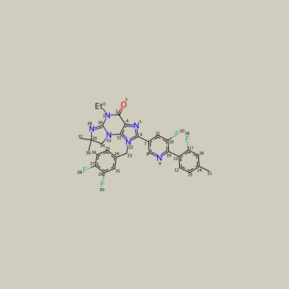 CCN1C(=O)c2nc(-c3cnc(-c4ccc(C)cc4F)c(F)c3)n(Cc3ccc(F)c(F)c3)c2N2CC(C)(C)N=C12